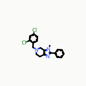 Cn1c(-c2ccccc2)nc2c1CN(Cc1ccc(Cl)cc1Cl)CC2